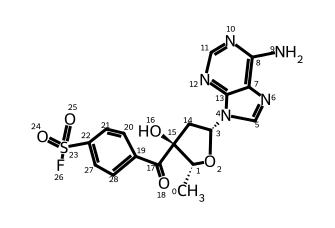 C[C@H]1O[C@@H](n2cnc3c(N)ncnc32)C[C@@]1(O)C(=O)c1ccc(S(=O)(=O)F)cc1